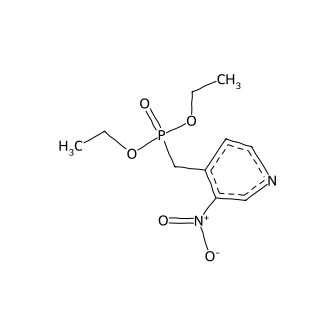 CCOP(=O)(Cc1ccncc1[N+](=O)[O-])OCC